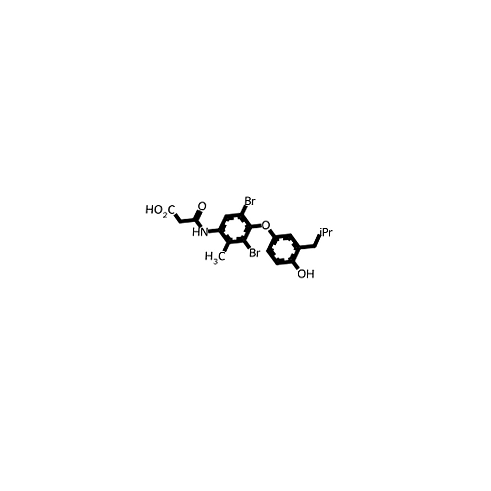 Cc1c(NC(=O)CC(=O)O)cc(Br)c(Oc2ccc(O)c(CC(C)C)c2)c1Br